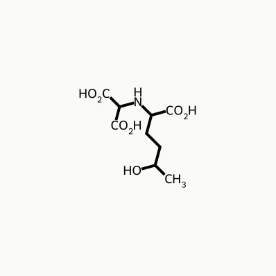 CC(O)CCC(NC(C(=O)O)C(=O)O)C(=O)O